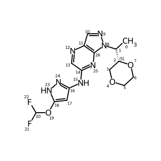 CC([C@H]1COCCO1)n1ncc2ncc(Nc3cc(OC(F)F)[nH]n3)nc21